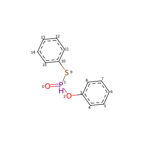 O=[PH](Oc1ccccc1)Sc1ccccc1